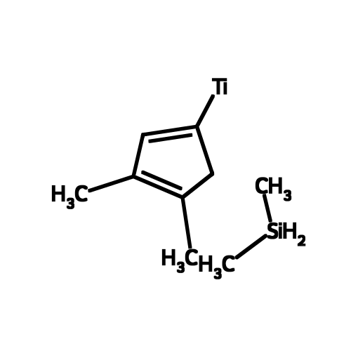 CC1=C(C)C[C]([Ti])=C1.C[SiH2]C